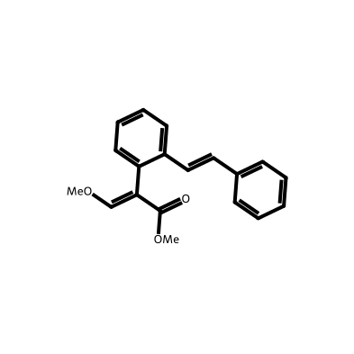 CO/C=C(/C(=O)OC)c1ccccc1C=Cc1ccccc1